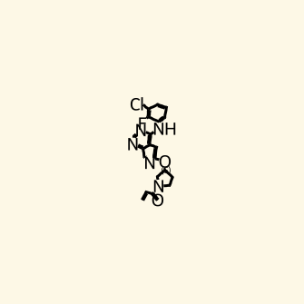 C=CC(=O)N1CC[C@H](Oc2cc3c(Nc4cccc(Cl)c4F)ncnc3cn2)C1